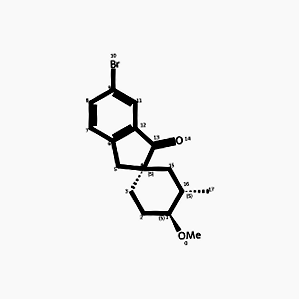 CO[C@H]1CC[C@@]2(Cc3ccc(Br)cc3C2=O)C[C@@H]1C